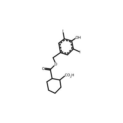 O=C(O)C1CCCCC1C(=O)OCc1cc(I)c(O)c(I)c1